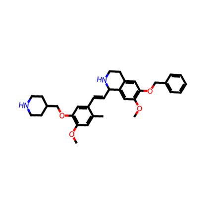 COc1cc2c(cc1OCc1ccccc1)CCNC2C=Cc1cc(OCC2CCNCC2)c(OC)cc1C